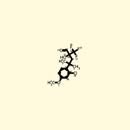 COc1ccc(C(C)(C)CC(O)(C=O)C(F)(F)F)c(Cl)c1